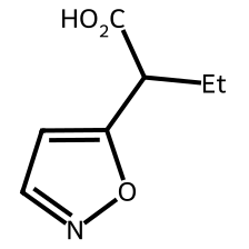 CCC(C(=O)O)c1ccno1